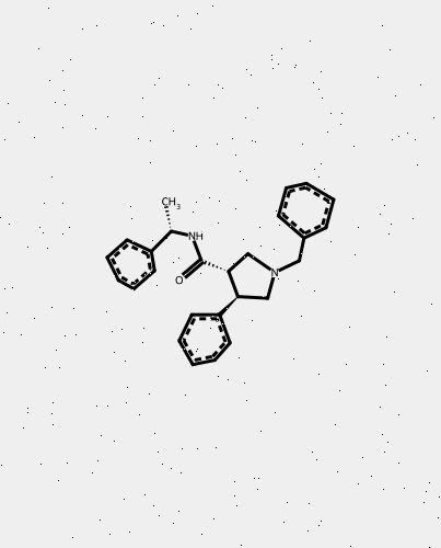 C[C@H](NC(=O)[C@@H]1CN(Cc2ccccc2)C[C@H]1c1ccccc1)c1ccccc1